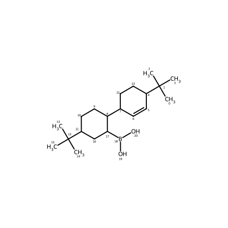 CC(C)(C)C1C=CC(C2CCC(C(C)(C)C)CC2B(O)O)CC1